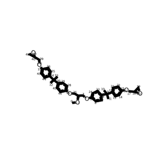 COC(COc1ccc(C(C)(C)c2ccc(OCC3CO3)cc2)cc1)COc1ccc(C(C)(C)c2ccc(OCC3CO3)cc2)cc1